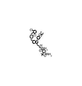 CC(C)(C)C1CC(N)(C(=O)NCCCc2cn(-c3ccc(OC(F)(F)F)cc3)c3cc(CN4CCN(Cc5c(Cl)cccc5Cl)CC4)ccc23)CCN1C(N)=O